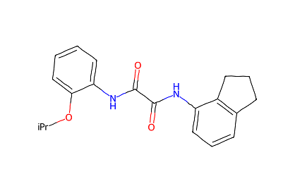 CC(C)Oc1ccccc1NC(=O)C(=O)Nc1cccc2c1CCC2